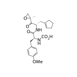 COc1ccc(C[C@H](NC(=O)O)C(=O)N[C@@H](CC2=CCCC2)C(=O)[C@]2(C)CO2)cc1